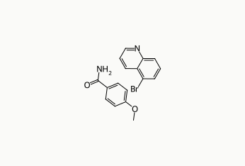 Brc1cccc2ncccc12.COc1ccc(C(N)=O)cc1